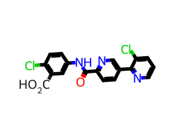 O=C(Nc1ccc(Cl)c(C(=O)O)c1)c1ccc(-c2ncccc2Cl)cn1